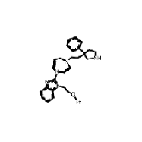 CCOCCn1c(N2C=CCN(CCC3(c4ccccc4)CCNC3)C=C2)nc2ccccc21